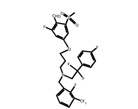 CS(=O)(=O)c1cc(OCCCN(Cc2cccc(C(F)(F)F)c2F)CC(F)(F)c2ccc(F)cc2)cc(F)c1C=O